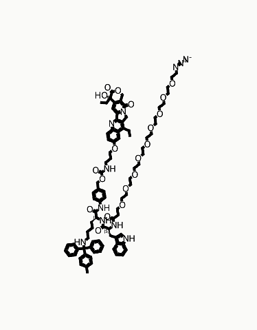 CCc1c2c(nc3ccc(OCCCNC(=O)OCc4ccc(NC(=O)[C@H](CCCCNC(c5ccccc5)(c5ccccc5)c5ccc(C)cc5)NC(=O)[C@H](Cc5c[nH]c6ccccc56)NC(=O)CCOCCOCCOCCOCCOCCOCCOCCOCCOCCN=[N+]=[N-])cc4)cc13)-c1cc3c(c(=O)n1C2)COC(=O)[C@]3(O)CC